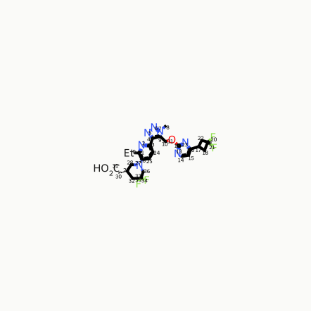 CCc1nc(-c2nnn(C)c2COc2nccc(C3CC(F)(F)C3)n2)ccc1N1C[C@@H](CC(=O)O)CC(F)(F)C1